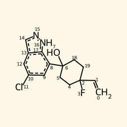 C=CC1(F)CCC(O)(c2cc(Cl)cc3cn[nH]c23)CC1